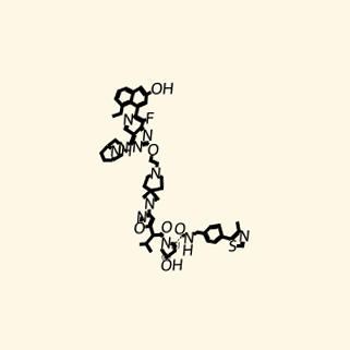 CCc1cccc2cc(O)cc(-c3ncc4c(N5CC6CCC(C5)N6)nc(OCCN5CCC6(CC5)CN(c5cc(C(C(=O)N7C[C@H](O)C[C@H]7C(=O)NCc7ccc(-c8scnc8C)cc7)C(C)C)on5)C6)nc4c3F)c12